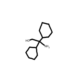 NC(CO)(C1CCCCC1)C1CCCCC1